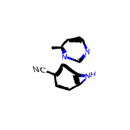 Cc1ccncn1.N#Cc1ccc2c(c1)N2